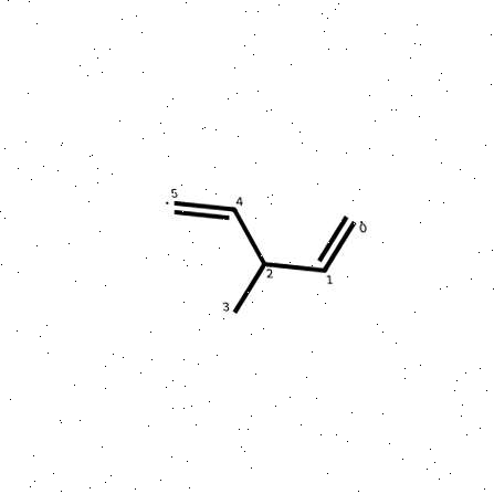 [CH]=CC(C)C=[CH]